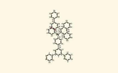 c1ccc(-c2cc(-c3ccccc3)cc(-c3ccc(N(c4ccccc4)c4c(-c5cccc(-c6ccccc6)c5)c5ccccc5c5ccccc45)cc3)c2)cc1